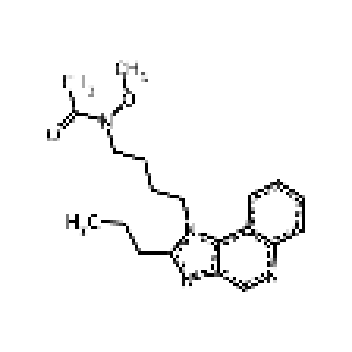 CCCc1nc2cnc3ccccc3c2n1CCCCN(OC)C(C)=O